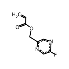 C=CC(=O)OCc1cnc(F)cn1